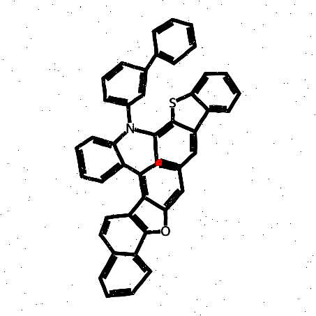 c1ccc(-c2cccc(N(c3ccccc3-c3cccc4oc5c6ccccc6ccc5c34)c3cccc4c3sc3ccccc34)c2)cc1